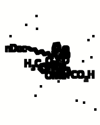 CCCCCCCCCCCCCCCCCCN1C(C(C(=O)Nc2cc(C)ccc2OC)N2C(=O)c3ccc(C(=O)O)cc3C2=O)=NS(=O)(=O)c2ccccc21